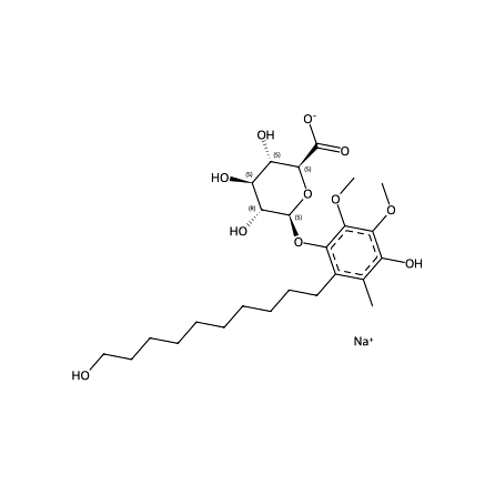 COc1c(O)c(C)c(CCCCCCCCCCO)c(O[C@@H]2O[C@H](C(=O)[O-])[C@@H](O)[C@H](O)[C@H]2O)c1OC.[Na+]